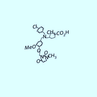 COc1cc(CN(CC2CCC(C(=O)O)CC2)[C@@H](C)c2ccc(Cl)cc2)ccc1OCCn1c(=O)ccn(C)c1=O